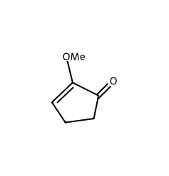 COC1=CCCC1=O